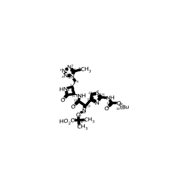 Cc1nnnn1C[C@H]1NC(=O)[C@H]1NC(=O)/C(=N\OC(C)(C)C(=O)O)c1csc(NC(=O)OC(C)(C)C)n1